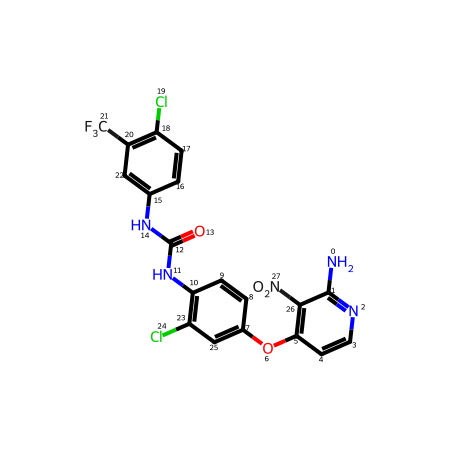 Nc1nccc(Oc2ccc(NC(=O)Nc3ccc(Cl)c(C(F)(F)F)c3)c(Cl)c2)c1[N+](=O)[O-]